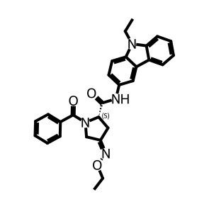 CCON=C1C[C@@H](C(=O)Nc2ccc3c(c2)c2ccccc2n3CC)N(C(=O)c2ccccc2)C1